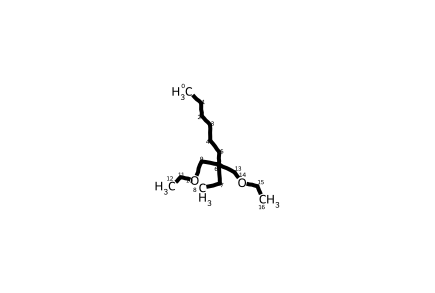 CCCCCCC(CC)(COCC)COCC